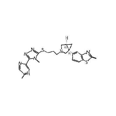 Cc1cnc(-c2nnc(SCCCN3C[C@H]4C[C@@]4(c4ccc5sc(C)nc5c4)C3)n2C)cn1